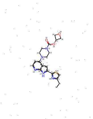 CCc1csc(-c2cc3c(N4CCN(C(=O)OC5COC5)CC4)ccnc3[nH]2)n1